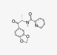 C[C@@H](C(=O)c1ccc2c(c1)OCO2)N(C)C(=O)c1ccccn1